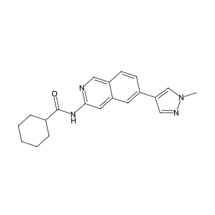 Cn1cc(-c2ccc3cnc(NC(=O)C4CCCCC4)cc3c2)cn1